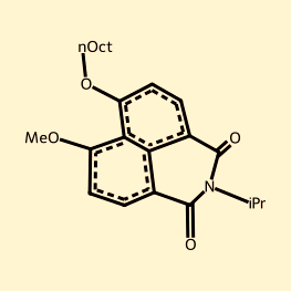 CCCCCCCCOc1ccc2c3c(ccc(OC)c13)C(=O)N(C(C)C)C2=O